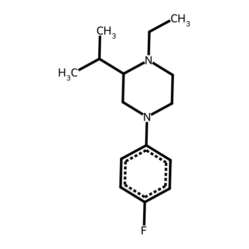 CCN1CCN(c2ccc(F)cc2)CC1C(C)C